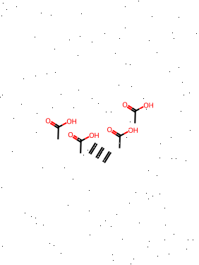 C=C.C=C.C=C.CC(=O)O.CC(=O)O.CC(=O)O.CC(=O)O